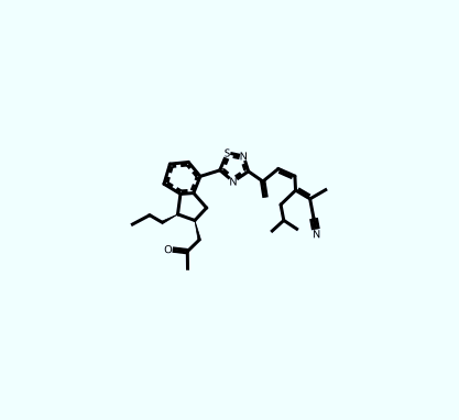 C=C(/C=C\C(CC(C)C)=C(/C)C#N)c1nsc(-c2cccc3c2C[C@@H](CC(C)=O)[C@H]3CCC)n1